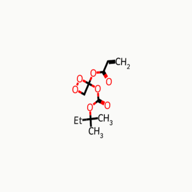 C=CC(=O)OC1(OC(=O)OC(C)(C)CC)COO1